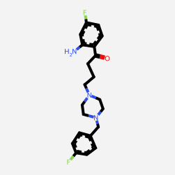 Nc1cc(F)ccc1C(=O)CCCN1CCN(Cc2ccc(F)cc2)CC1